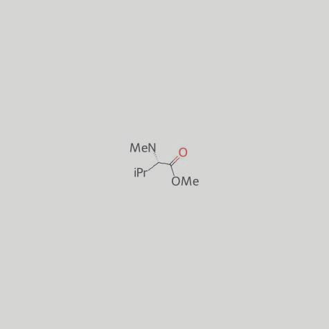 CN[C@H](C(=O)OC)C(C)C